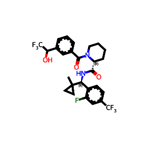 CC1([C@@H](NC(=O)[C@H]2CCCCN2C(=O)c2cccc(C(O)C(F)(F)F)c2)c2ccc(C(F)(F)F)cc2F)CC1